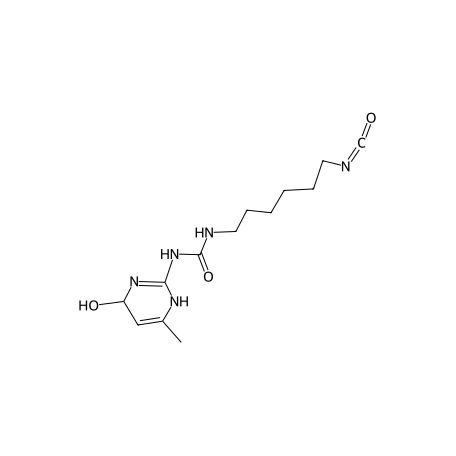 CC1=CC(O)N=C(NC(=O)NCCCCCCN=C=O)N1